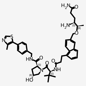 Cc1ncsc1-c1ccc(CNC(=O)[C@@H]2C[C@@H](O)CN2C(=O)[C@@H](NC(=O)CCc2cccc3cc(CO[C@H](C)[C@@H](N)CCC(N)=O)ccc23)C(C)(C)C)cc1